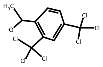 CC([O])c1ccc(C(Cl)(Cl)Cl)cc1C(Cl)(Cl)Cl